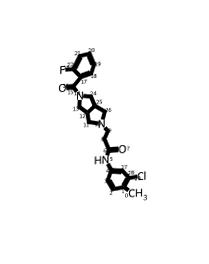 Cc1ccc(NC(=O)CCN2CC3CN(C(=O)c4ccccc4F)CC3C2)cc1Cl